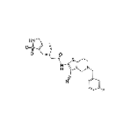 N#Cc1c(NC(=O)Cc2ccc3c(c2)S(=O)(=O)NC3)sc2c1CN(Cc1cccc(F)c1)CC2